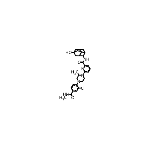 CNC(=O)c1ccc(N2CCN(c3cccc(C(=O)NC4C5CC6CC4CC(O)(C6)C5)n3)C(C)C2)c(Cl)c1